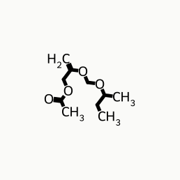 C=C(COC(C)=O)OCOC(C)CC